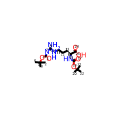 CC(C)(C)OC(=O)N=C(N)NCCC[C@H](NC(=O)OC(C)(C)C)C(=O)O